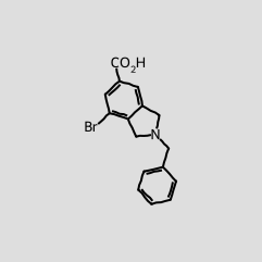 O=C(O)c1cc(Br)c2c(c1)CN(Cc1ccccc1)C2